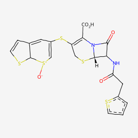 O=C(Cc1cccs1)NC1C(=O)N2C(C(=O)O)=C(SC3=C[S+]([O-])C4SC=CC4=C3)CS[C@@H]12